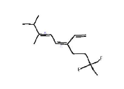 C=C/C(=C\C=C(/C)C(C)C)CCC(C)(F)F